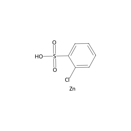 O=S(=O)(O)c1ccccc1Cl.[Zn]